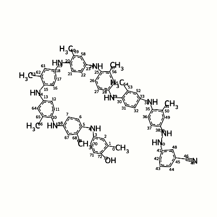 Cc1cc(Nc2ccc(Nc3ccc(Nc4ccc(Nc5ccc(Nc6ccc(Nc7ccc(Nc8ccc(NNc9cccc(C#N)c9)cc8C)cc7C)cc6C)cc5C)cc4C)cc3C)cc2C)ccc1O